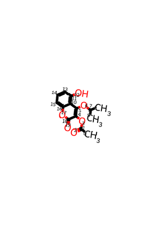 CC(=O)Oc1c(OC(C)C)c2c(O)cccc2oc1=O